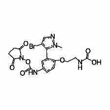 Cn1ncc(Br)c1-c1cc(NC(=O)ON2C(=O)CCC2=O)ccc1OCCNC(=O)O